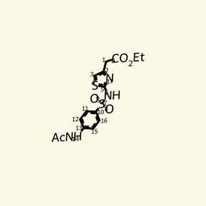 CCOC(=O)Cc1csc(NS(=O)(=O)c2ccc(NC(C)=O)cc2)n1